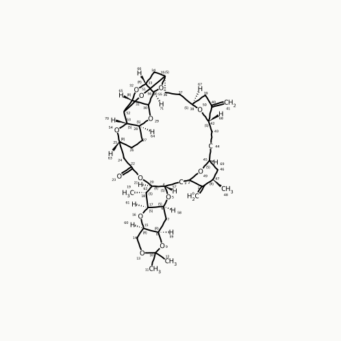 C=C1C2C[C@@H]3O[C@H]4C[C@H]5OC(C)(C)OC[C@H]5O[C@H]4[C@H](C)[C@H]3OC(=O)C[C@H]3CC[C@@H]4OC5[C@H]6O[C@@H]7C[C@](CC[C@H]8CC(=C)[C@H](CC[C@@H](C[C@H]1C)O2)O8)(OC6[C@H]4O3)O[C@@H]57